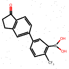 O=C1CCc2cc(-c3ccc(C(F)(F)F)c(B(O)O)c3)ccc21